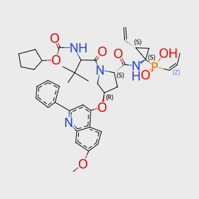 C=C[C@@H]1C[C@]1(NC(=O)[C@@H]1C[C@@H](Oc2cc(-c3ccccc3)nc3cc(OC)ccc23)CN1C(=O)C(NC(=O)OC1CCCC1)C(C)(C)C)P(=O)(O)/C=C\C